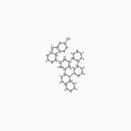 Clc1ccc2c(c1)oc1cccc(-c3nc(-c4ccc5ccccc5c4)nc(-c4ccccc4-c4ccccc4)n3)c12